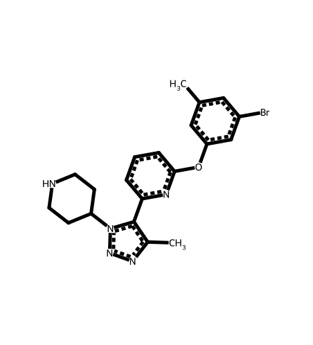 Cc1cc(Br)cc(Oc2cccc(-c3c(C)nnn3C3CCNCC3)n2)c1